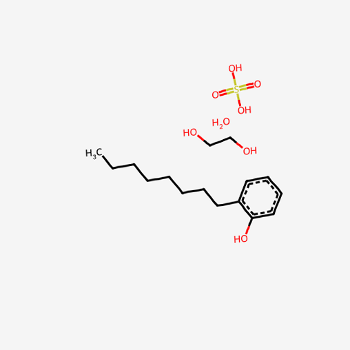 CCCCCCCCc1ccccc1O.O.O=S(=O)(O)O.OCCO